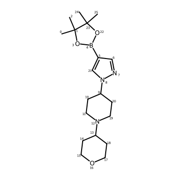 CC1(C)OB(c2cnn(C3CCN(C4CCOCC4)CC3)c2)OC1(C)C